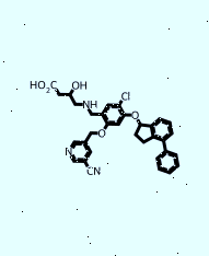 N#Cc1cncc(COc2cc(OC3CCc4c(-c5ccccc5)cccc43)c(Cl)cc2CNCC(O)CC(=O)O)c1